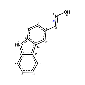 O/N=C/c1ccc2[nH]c3ccccc3c2c1